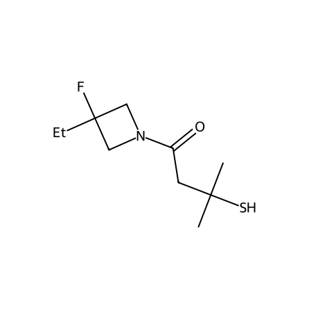 CCC1(F)CN(C(=O)CC(C)(C)S)C1